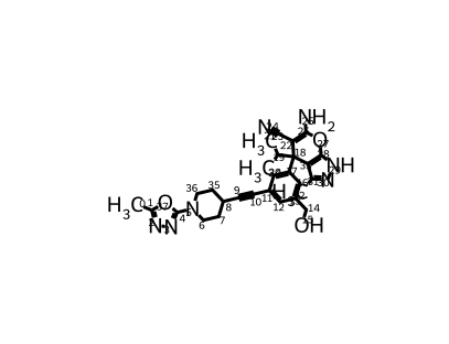 Cc1nnc(N2CCC(C#Cc3cc(CO)cc(C4(C(C)C)C(C#N)=C(N)Oc5[nH]nc(C)c54)c3)CC2)o1